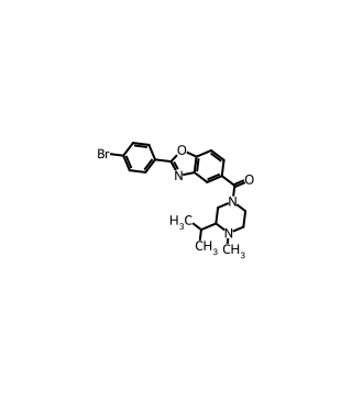 CC(C)C1CN(C(=O)c2ccc3oc(-c4ccc(Br)cc4)nc3c2)CCN1C